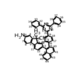 CC1(C)c2cc(N)ccc2-c2ccc(-c3c(-c4ccc(-c5nc(-c6ccccc6)nc(-c6ccccc6)n5)cc4)ccc4ccccc34)cc21